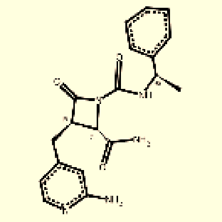 C[C@@H](NC(=O)N1C(=O)[C@H](Cc2ccnc(N)c2)[C@H]1C(N)=O)c1ccccc1